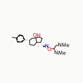 CNCC(NC)ON=C[C@H]1CC[C@]2(O)C[C@@H](c3ccc(C)cc3)CC[C@]12C